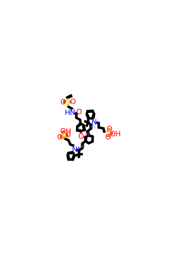 C=CS(=O)(=O)CCNC(=O)CCc1ccc(OC2=C(/C=C/C3=[N+](CCCCS(=O)(=O)O)c4ccccc4C3(C)C)CCC/C2=C\C=C2\N(CCCCS(=O)(=O)O)c3ccccc3C2(C)C)cc1